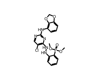 COP(=O)(OC)c1ccccc1NNc1nc(Nc2cccc3c2OCO3)ncc1Cl